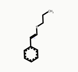 CCCS/C=C/c1ccccc1